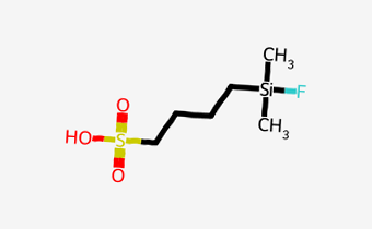 C[Si](C)(F)CCCCS(=O)(=O)O